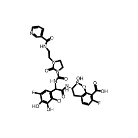 O=C(NCCN1CCN(C(=O)NC(C(=O)N[C@H]2Cc3ccc(F)c(C(=O)O)c3OB2O)c2cc(F)c(O)c(O)c2Cl)C1=O)c1cccnc1